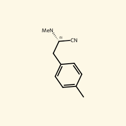 CN[C@H](C#N)Cc1ccc(C)cc1